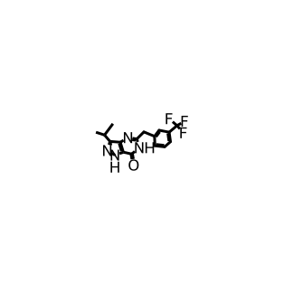 CC(C)c1n[nH]c2c(=O)[nH]c(Cc3cccc(C(F)(F)F)c3)nc12